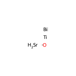 [Bi].[O].[SrH2].[Ti]